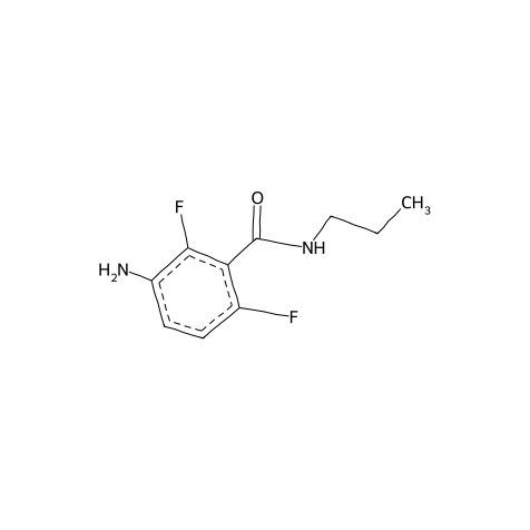 CCCNC(=O)c1c(F)ccc(N)c1F